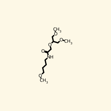 COCCCCNC(=O)COC(COC)COC